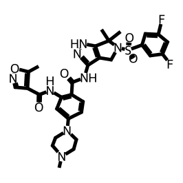 Cc1oncc1C(=O)Nc1cc(N2CCN(C)CC2)ccc1C(=O)Nc1n[nH]c2c1CN(S(=O)(=O)c1cc(F)cc(F)c1)C2(C)C